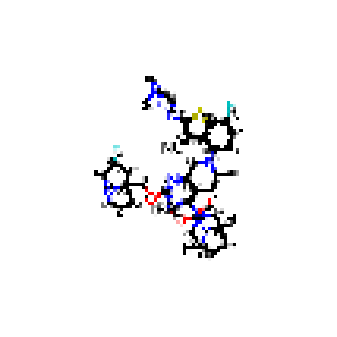 CC1Cc2c(nc(OC[C@@]34CCCN3C[C@H](F)C4)nc2N2C[C@H]3CC[C@@H](C2)N3C(=O)OC(C)(C)C)CN1c1ccc(F)c2sc(/N=C/N(C)C)c(C#N)c12